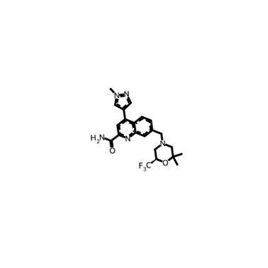 Cn1cc(-c2cc(C(N)=O)nc3cc(CN4C[C@H](C(F)(F)F)OC(C)(C)C4)ccc23)cn1